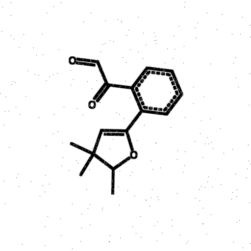 CC1OC(c2ccccc2C(=O)C=O)=CC1(C)C